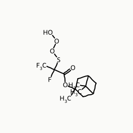 CC1(OC(=O)C(F)(SOOO)C(F)(F)F)CC2CC(C1)C2(C)C